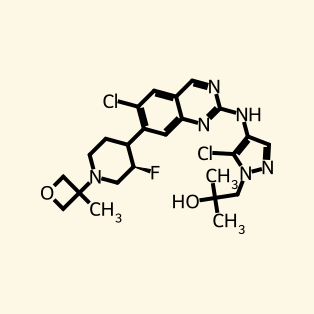 CC(C)(O)Cn1ncc(Nc2ncc3cc(Cl)c(C4CCN(C5(C)COC5)C[C@@H]4F)cc3n2)c1Cl